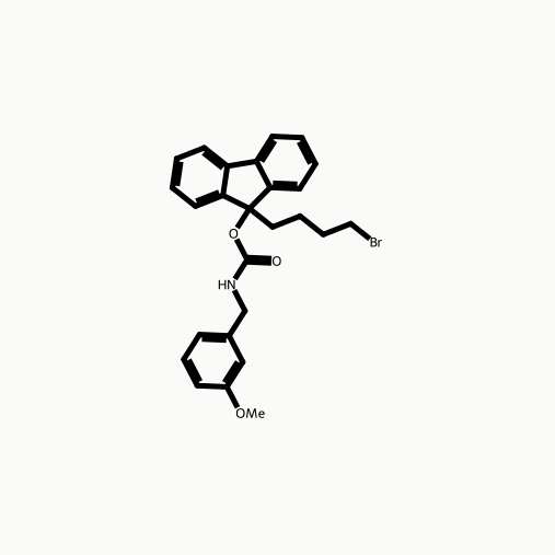 COc1cccc(CNC(=O)OC2(CCCCBr)c3ccccc3-c3ccccc32)c1